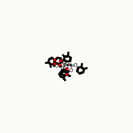 Cc1cccc(OP(N=P(NP(Oc2cccc(C)c2C)Oc2cccc(C)c2C)(Oc2cccc(C)c2C)Oc2cccc(C)c2C)Oc2cccc(C)c2C)c1C